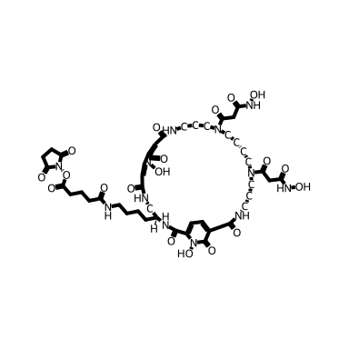 O=C(CC(=O)N1CCCCN(C(=O)CC(=O)NO)CCCNC(=O)c2ccc(n(O)c2=O)C(=O)N[C@@H](CCCCNC(=O)CCCC(=O)ON2C(=O)CCC2=O)CNC(=O)c2ccc(c(=O)n2O)C(=O)NCCC1)NO